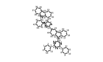 c1ccc(-c2nc(-c3ccccc3)nc(-n3c4ccccc4c4cc(-c5nnc(-c6cccc7c8ccccc8n(-c8ccccc8)c67)s5)ccc43)n2)cc1